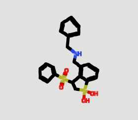 O=S(=O)(c1ccccc1)C1CS(O)(O)c2cccc(CNCc3ccccc3)c21